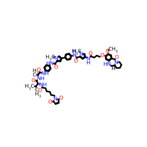 COc1cc2c(cc1OCCCC(=O)Nc1cc(C(=O)Nc3ccc(-c4cc(C(=O)Nc5ccc(NC(=O)[C@H](C)NC(=O)[C@@H](NC(=O)CCCCCN6C(=O)C=CC6=O)C(C)C)cc5)n(C)c4)cc3)n(C)c1)NC[C@@H]1CCCCN1C2=O